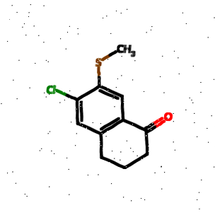 CSc1cc2c(cc1Cl)CCCC2=O